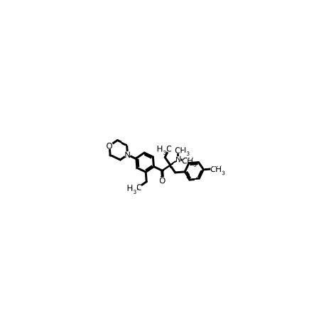 CCc1cc(N2CCOCC2)ccc1C(=O)C(CC)(Cc1ccc(C)cc1)N(C)C